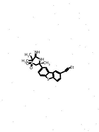 CCC#Cc1ccc2sc3ccc([C@]4(C)CS(=O)(=O)C(C)(C)C(=N)N4)cc3c2c1